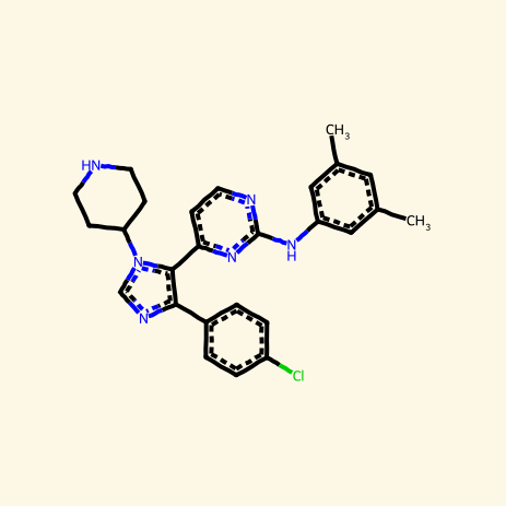 Cc1cc(C)cc(Nc2nccc(-c3c(-c4ccc(Cl)cc4)ncn3C3CCNCC3)n2)c1